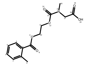 Cc1ccccc1C(=O)OCCOC(=O)N(C)CC(=O)O